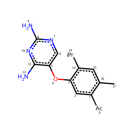 CC(=O)c1cc(Oc2cnc(N)nc2N)c(C(C)C)cc1C